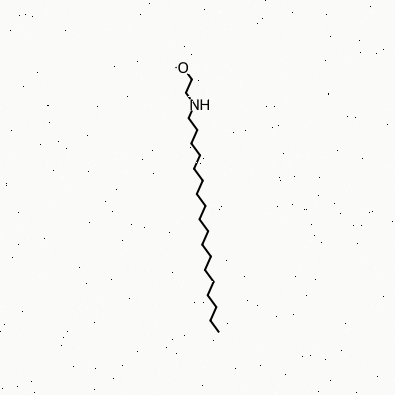 CCCCCCCCCCCCCCCCCCNCC[O]